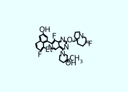 CCc1c(F)ccc2cc(O)cc(-c3ncc4c(N5CCC[C@@](C)(O)C5)nc(OC[C@@]56CCCN5C[C@H](F)CC6)nc4c3F)c12